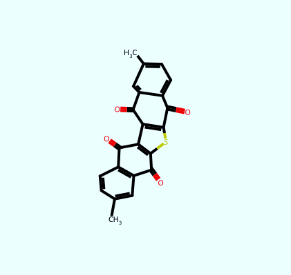 Cc1ccc2c(=O)c3c(sc4c(=O)c5ccc(C)cc5c(=O)c43)c(=O)c2c1